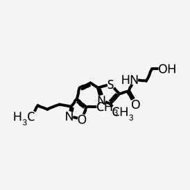 CCCCc1noc(C)c1/C=C\c1nc(C)c(C(=O)NCCO)s1